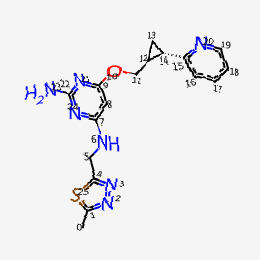 Cc1nnc(CNc2cc(OC[C@H]3C[C@@H]3c3ccccn3)nc(N)n2)s1